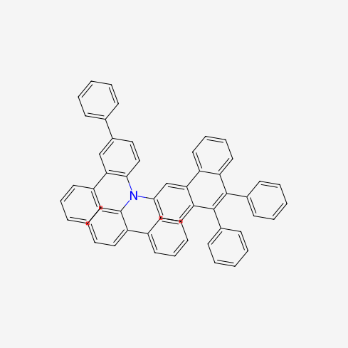 c1ccc(-c2ccc(N(c3ccc4c(-c5ccccc5)c(-c5ccccc5)c5ccccc5c4c3)c3ccccc3-c3ccccc3)c(-c3ccccc3)c2)cc1